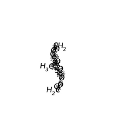 C=CC(=O)OCCCOc1ccc(C(=O)Sc2ccc(SC(=O)c3ccc(OCOC(=O)C=C)cc3)c(C)c2)cc1